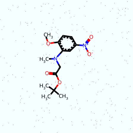 COc1ccc([N+](=O)[O-])cc1N(C)CC(=O)OC(C)(C)C